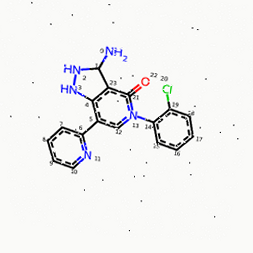 NC1NNc2c(-c3ccccn3)cn(-c3ccccc3Cl)c(=O)c21